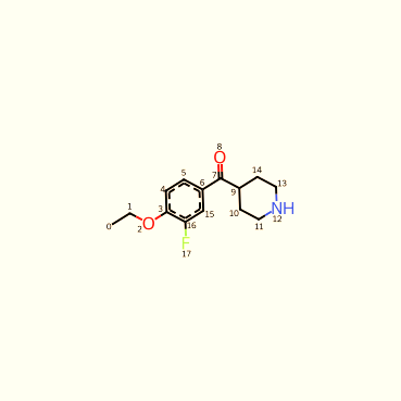 CCOc1ccc(C(=O)C2CCNCC2)cc1F